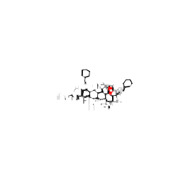 CCN(CC(C)C)C(C)(C)c1c(F)c2c(c(OCc3ccccc3)c1Br)C(=O)C1=C(O)[C@]3(O[Si](C)(C)C(C)(C)C)C(=O)c4c(OCc5ccccc5)noc4[C@@H](N(C)C)[C@@H]3C[C@@H]1C2